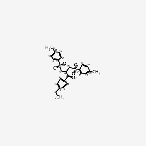 CCc1ccc(C(=O)C(CS(=O)(=O)c2ccc(C)cc2)CS(=O)(=O)c2ccc(C)cc2)cc1